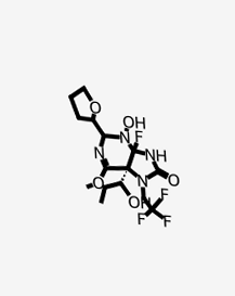 CCC(O)[C@]12C(OC)=NC(C3CCCO3)N(O)C1(F)NC(=O)N2CC(F)(F)F